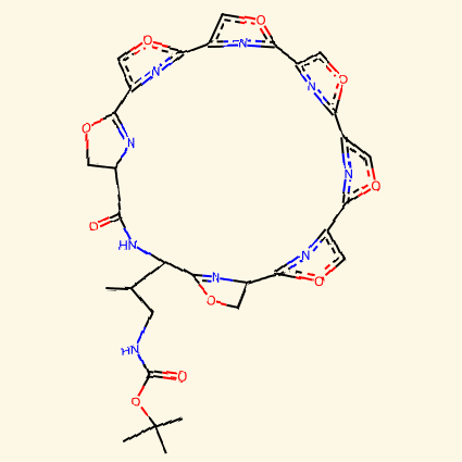 CC(CNC(=O)OC(C)(C)C)C1NC(=O)C2COC(=N2)c2coc(n2)-c2coc(n2)-c2coc(n2)-c2coc(n2)-c2coc(n2)C2COC1=N2